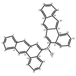 [O-][S+](c1cc2cc3ccccc3cc2c2ccccc12)c1cc2cc3ccccc3cc2c2ccccc12